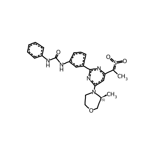 CC(c1cc(N2CCOC[C@@H]2C)nc(-c2cccc(NC(=O)Nc3ccccc3)c2)n1)=S(=O)=O